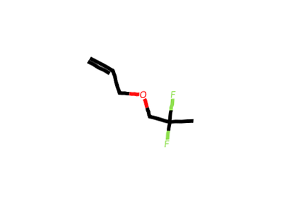 C=CCOCC(C)(F)F